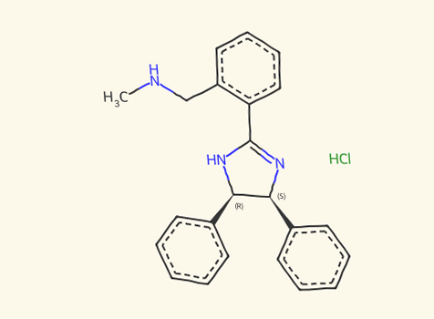 CNCc1ccccc1C1=N[C@@H](c2ccccc2)[C@@H](c2ccccc2)N1.Cl